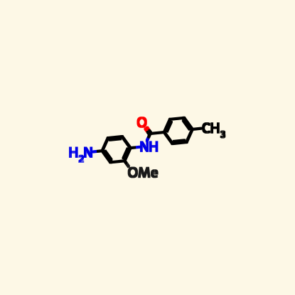 COc1cc(N)ccc1NC(=O)c1ccc(C)cc1